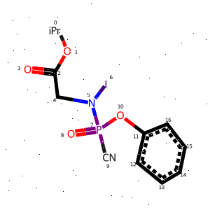 CC(C)OC(=O)CN(I)P(=O)(C#N)Oc1ccccc1